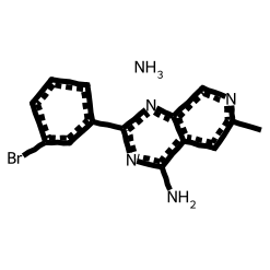 Cc1cc2c(N)nc(-c3cccc(Br)c3)nc2cn1.N